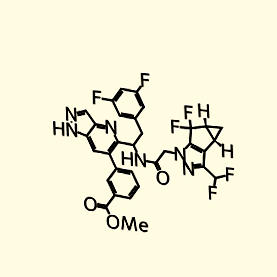 COC(=O)c1cccc(-c2cc3[nH]ncc3nc2C(Cc2cc(F)cc(F)c2)NC(=O)Cn2nc(C(F)F)c3c2C(F)(F)[C@@H]2C[C@H]32)c1